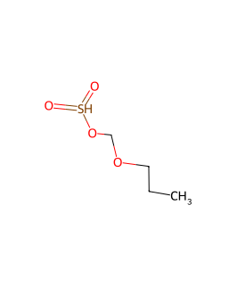 CCCOCO[SH](=O)=O